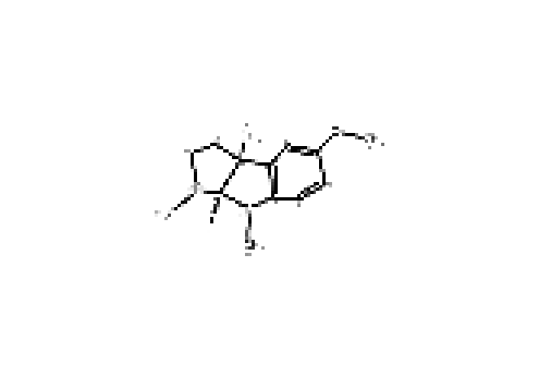 COc1ccc2c(c1)[C@@]1(C)CCN(C)[C@@]1(I)N2C